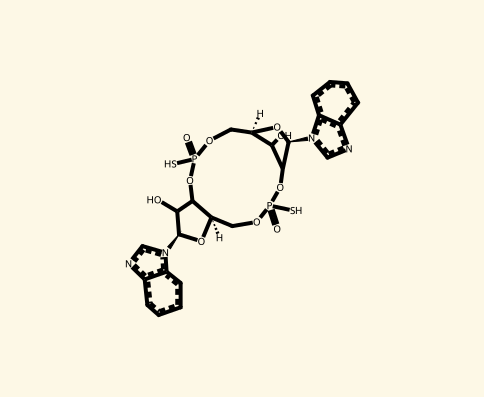 O=P1(S)OC[C@H]2O[C@@H](n3cnc4ccccc43)C(O)C2OP(=O)(S)OC[C@H]2O[C@@H](n3cnc4ccccc43)C(O1)C2O